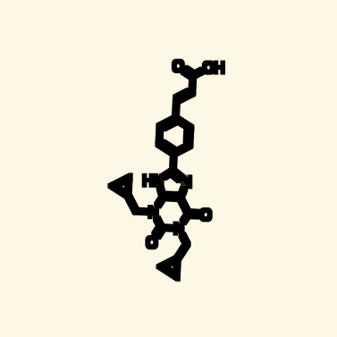 O=C(O)C=Cc1ccc(-c2nc3c(=O)n(CC4CC4)c(=O)n(CC4CC4)c3[nH]2)cc1